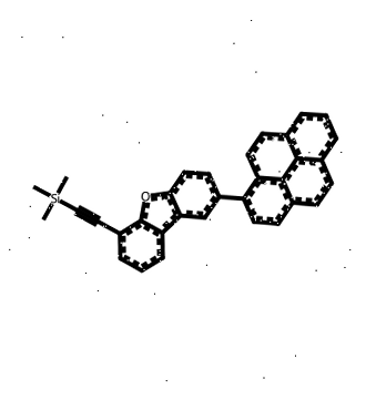 C[Si](C)(C)C#Cc1cccc2c1oc1ccc(-c3ccc4ccc5cccc6ccc3c4c56)cc12